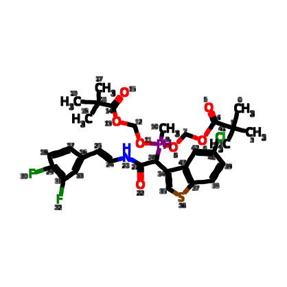 CC(C)(C)C(=O)OCO[PH](C)(OCOC(=O)C(C)(C)C)C(C(=O)N/C=C/c1ccc(F)c(F)c1)c1csc2ccc(Cl)cc12